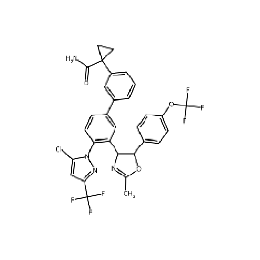 CC1=NC(c2cc(-c3cccc(C4(C(N)=O)CC4)c3)ccc2-n2nc(C(F)(F)F)cc2Cl)C(c2ccc(OC(F)(F)F)cc2)O1